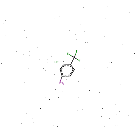 Cl.FC(F)(F)c1ccc(P)cc1